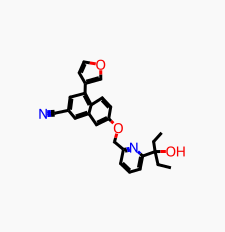 CCC(O)(CC)c1cccc(COc2ccc3c(-c4ccoc4)cc(C#N)cc3c2)n1